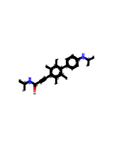 Cc1c(C)c(-c2ccc(NC(C)C)cc2)c(C)c(C)c1C#CC(=O)NC(C)C